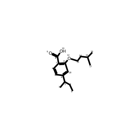 CCC(C)c1ccc(C(=O)O)c(OCCC(C)C)c1